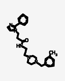 Cc1cccc(CN2CCN(CCNC(=O)CCn3ccnc3-c3ccccc3)CC2)c1